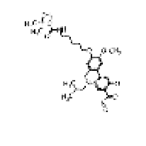 COc1cc2c(cc1OCCCCCNC(=O)OC(C)(C)C)CN(CC(C)C)n1cc(C(=O)N=O)c(=O)cc1-2